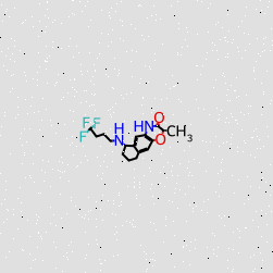 C[C@H]1Oc2cc3c(cc2NC1=O)[C@H](NCCCC(F)(F)F)CCC3